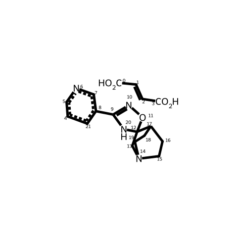 O=C(O)/C=C/C(=O)O.c1cncc(C2=NOC3(CN4CCC3CC4)N2)c1